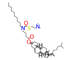 CCCCCCCCCCN(CCCC(=O)O[C@H]1CC[C@@]2(C)C(=CC[C@H]3[C@@H]4CC[C@H]([C@H](C)CCCC(C)C)[C@@]4(C)CC[C@@H]32)C1)C(=O)SCCN(C)C